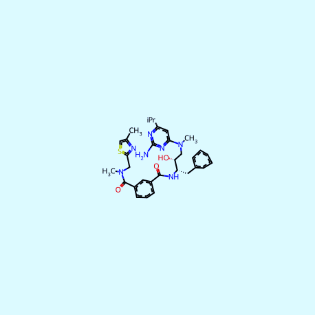 Cc1csc(CN(C)C(=O)c2cccc(C(=O)N[C@@H](Cc3ccccc3)[C@H](O)CN(C)c3cc(C(C)C)nc(N)n3)c2)n1